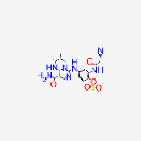 CC(C)[C@@H](C)Nc1nc(Nc2ccc(OS(C)(=O)=O)c(NC(=O)CC#N)c2)ncc1C(N)=O